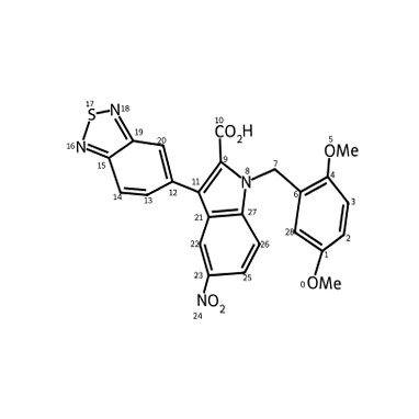 COc1ccc(OC)c(Cn2c(C(=O)O)c(-c3ccc4nsnc4c3)c3cc([N+](=O)[O-])ccc32)c1